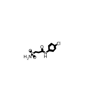 NS(=O)(=O)CCC(=O)Nc1ccc(Cl)cc1